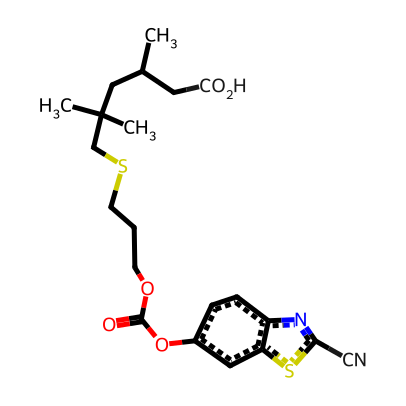 CC(CC(=O)O)CC(C)(C)CSCCCOC(=O)Oc1ccc2nc(C#N)sc2c1